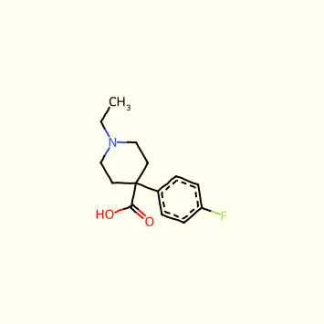 CCN1CCC(C(=O)O)(c2ccc(F)cc2)CC1